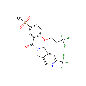 CS(=O)(=O)c1ccc(OCCC(F)(F)F)c(C(=O)N2Cc3cnc(C(F)(F)F)cc3C2)c1